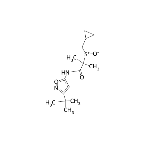 CC(C)(C)c1cc(NC(=O)C(C)(C)[S+]([O-])CC2CC2)on1